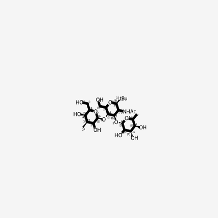 CC(=O)NC1[C@@H](O[C@@H]2OC(C)[C@@H](O)[C@H](O)C2O)[C@H](O[C@@H]2OC(CO)[C@H](O)[C@H](C)C2O)C(CO)O[C@H]1C(C)(C)C